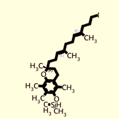 C/C(=C\CC[C@]1(C)CCc2c(C)c(O[SiH](C)C)c(C)c(C)c2O1)CC/C=C(\C)CCCI